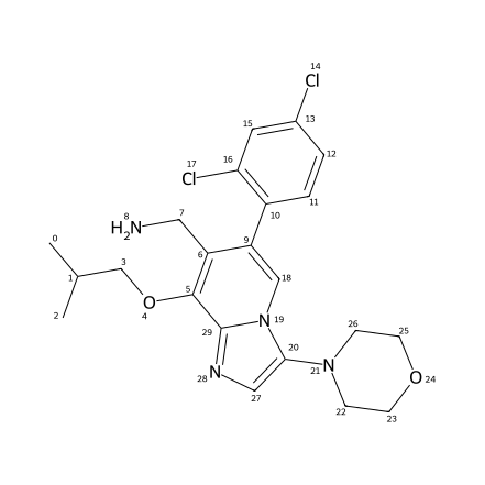 CC(C)COc1c(CN)c(-c2ccc(Cl)cc2Cl)cn2c(N3CCOCC3)cnc12